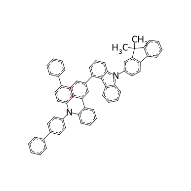 CC1(C)c2ccccc2-c2ccc(-n3c4ccccc4c4c(-c5cccc(-c6ccccc6N(c6ccc(-c7ccccc7)cc6)c6ccc(-c7ccccc7)cc6)c5)cccc43)cc21